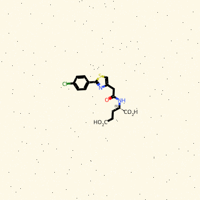 O=C(O)CC[C@H](NC(=O)Cc1csc(-c2ccc(Cl)cc2)n1)C(=O)O